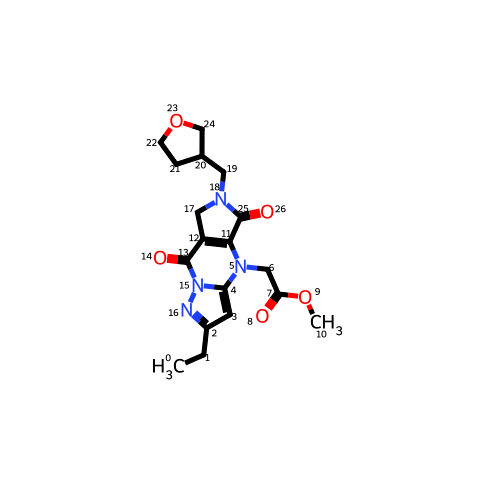 CCc1cc2n(CC(=O)OC)c3c(c(=O)n2n1)CN(CC1CCOC1)C3=O